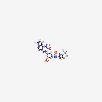 CCN1C(=O)N(c2cc(OC)cc(C(=O)Nc3nc(C(C)(C)C)cs3)c2)Cc2cnc3[nH]ccc3c21